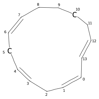 C1=C\C/C=C\C/C=C\CCCC/C=C/1